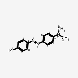 CC(C)c1ccc(/N=N/c2ccc(N(C)C)cc2)cc1